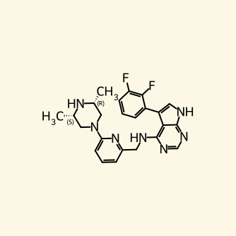 C[C@@H]1CN(c2cccc(CNc3ncnc4[nH]cc(-c5cccc(F)c5F)c34)n2)C[C@H](C)N1